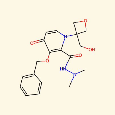 CN(C)NC(=O)c1c(OCc2ccccc2)c(=O)ccn1C1(CO)COC1